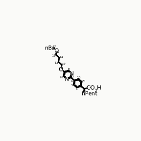 CCCCCC(C(=O)O)c1ccc(-c2ncc(OCCCCOCCCC)cn2)cc1